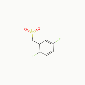 O=[SH](=O)Cc1cc(F)ccc1F